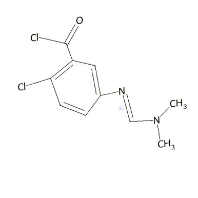 CN(C)/C=N/c1ccc(Cl)c(C(=O)Cl)c1